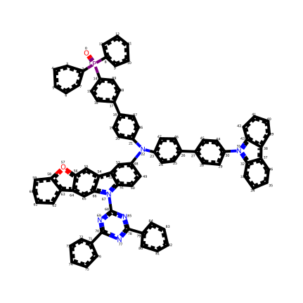 O=P(c1ccccc1)(c1ccccc1)c1ccc(-c2ccc(N(c3ccc(-c4ccc(-n5c6ccccc6c6ccccc65)cc4)cc3)c3ccc4c(c3)c3cc5oc6ccccc6c5cc3n4-c3nc(-c4ccccc4)nc(-c4ccccc4)n3)cc2)cc1